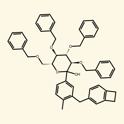 Cc1ccc(C2(O)O[C@H](COCc3ccccc3)[C@@H](OCc3ccccc3)[C@H](OCc3ccccc3)[C@H]2OCc2ccccc2)cc1Cc1ccc2c(c1)CC2